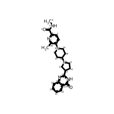 CNC(=O)c1ccc(N2CCC(N3CCC(c4nc5ccccc5c(=O)[nH]4)C3)CC2)c(C)n1